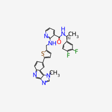 C[C@H](NC(=O)c1cccnc1NCc1ccc(-c2ccc3ncc4ncn(C)c4c3c2)s1)c1ccc(F)c(F)c1